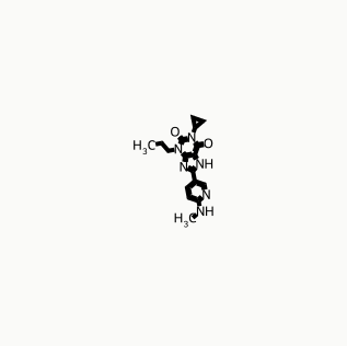 CCCn1c(=O)n(C2CC2)c(=O)c2[nH]c(-c3ccc(NC)nc3)nc21